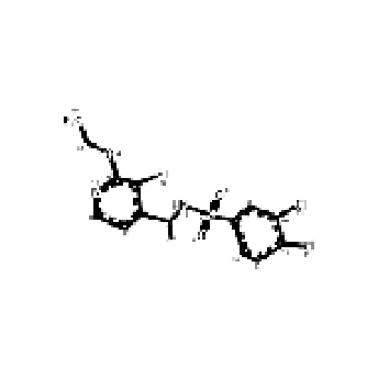 CCc1c(C(C)NS(=O)(=O)c2ccc(Cl)c(Cl)c2)ccnc1OCC(F)(F)F